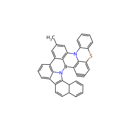 Cc1cc2c3c(c1)N1c4ccccc4Sc4cc#cc(c41)B3n1c3c(c4cccc-2c41)C=CC1C=CC=CC31